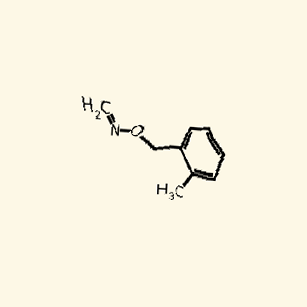 C=NOCc1ccccc1C